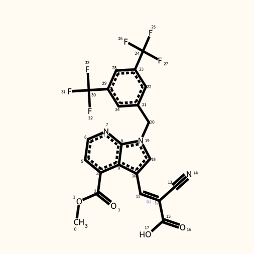 COC(=O)c1ccnc2c1c(/C=C(\C#N)C(=O)O)cn2Cc1cc(C(F)(F)F)cc(C(F)(F)F)c1